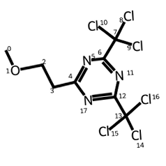 COCCc1nc(C(Cl)(Cl)Cl)nc(C(Cl)(Cl)Cl)n1